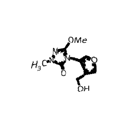 COc1nn(C)c(=O)n1-c1cocc1CO